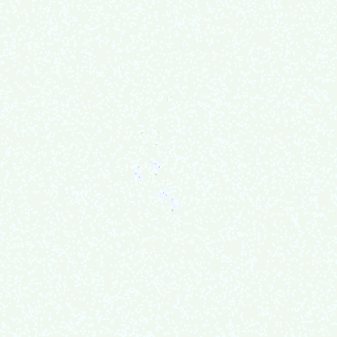 CCOc1ccc(-c2cncc(C(=O)N/N=C/C3=C(C)CCCC3)n2)cc1